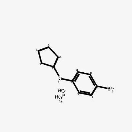 [B+2]c1ccc(OC2CCCC2)cc1.[OH-].[OH-]